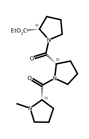 CCOC(=O)[C@@H]1CCCN1C(=O)[C@@H]1CCCN1C(=O)[C@@H]1CCCN1C